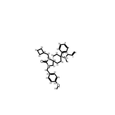 C=CCN(C)[C@]1(c2ccccc2)CC[C@]2(CC1)CN(Cc1ccc(OC)cc1)C(=O)N2CC1CCC1